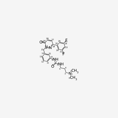 CN(C)CCCNC(=O)Nc1cccc(Cn2nc(-c3cc(F)cc(F)c3)ccc2=O)c1